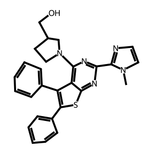 Cn1ccnc1-c1nc(N2CCC(CO)C2)c2c(-c3ccccc3)c(-c3ccccc3)sc2n1